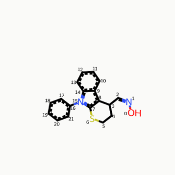 O/N=C\C1CCSc2c1c1ccccc1n2-c1ccccc1